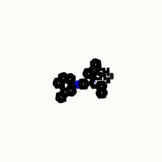 CC1(C)c2ccccc2-c2cccc(/C=C(/Cc3cccc4ccccc34)c3ccc(-n4c5ccc6c7c5c5c8c(cccc8ccc54)C7(c4ccccc4)c4ccccc4-6)cc3)c21